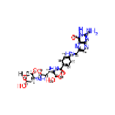 CC(=O)[C@@H](CC(=O)O)NC(=O)CC[C@@H](NC(=O)c1ccc(NCc2cnc3nc(N)[nH]c(=O)c3n2)cc1)C(=O)O